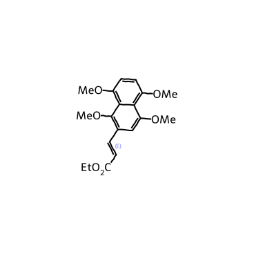 CCOC(=O)/C=C/c1cc(OC)c2c(OC)ccc(OC)c2c1OC